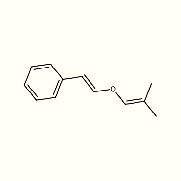 CC(C)=COC=Cc1ccccc1